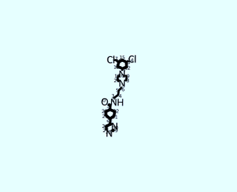 O=C(NCCCCN1CCN(c2cc(Cl)cc(Cl)c2)CC1)c1ccc(-c2ccncn2)cc1